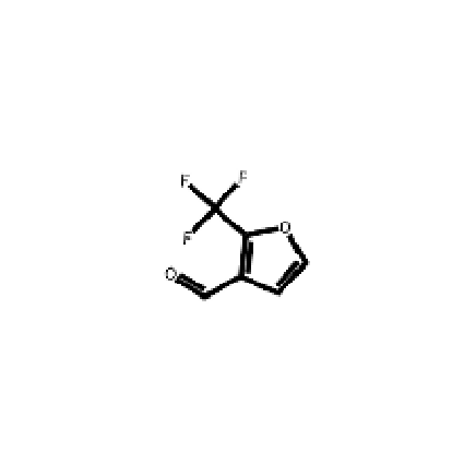 O=[C]c1ccoc1C(F)(F)F